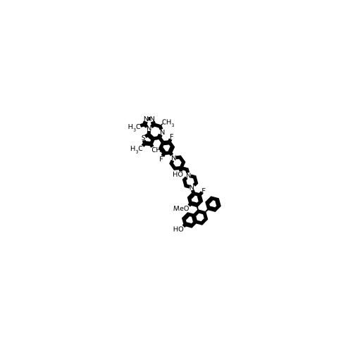 COc1cc(N2CCN(CC3(O)CCN(c4cc(F)c(C5=N[C@@H](C)c6nnc(C)n6-c6sc(C)c(C)c65)cc4F)CC3)CC2)c(F)cc1[C@@H]1c2ccc(O)cc2CC[C@@H]1c1ccccc1